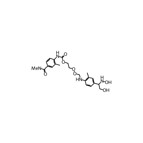 CNC(=O)c1ccc(NC(=O)OCCOOCNc2ccc(C(CO)NO)cc2C)c(C)c1